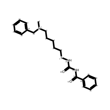 CN(CCCCCSNC(=O)NC(=O)c1ccccc1)Cc1ccccc1